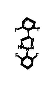 Fc1cccc(F)c1C1=CNN(c2c(F)cccc2F)N=N1